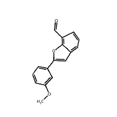 COc1cccc(-c2cc3cccc(C=O)c3o2)c1